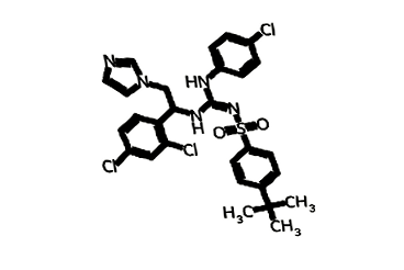 CC(C)(C)c1ccc(S(=O)(=O)/N=C(/Nc2ccc(Cl)cc2)NC(Cn2ccnc2)c2ccc(Cl)cc2Cl)cc1